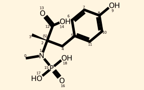 CN([C@@](C)(Cc1ccc(O)cc1)C(=O)O)P(=O)(O)O